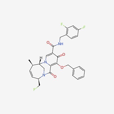 C[C@@H]1C=C[C@H](CF)N2C[C@H]1n1cc(C(=O)NCc3ccc(F)cc3F)c(=O)c(OCc3ccccc3)c1C2=O